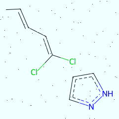 CC=CC=C(Cl)Cl.c1cn[nH]c1